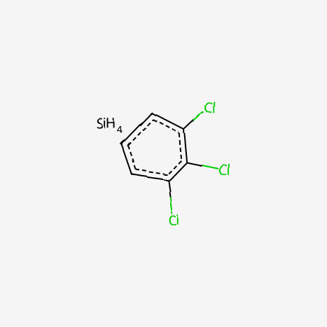 Clc1cccc(Cl)c1Cl.[SiH4]